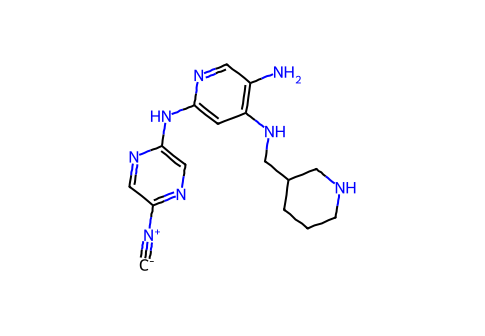 [C-]#[N+]c1cnc(Nc2cc(NCC3CCCNC3)c(N)cn2)cn1